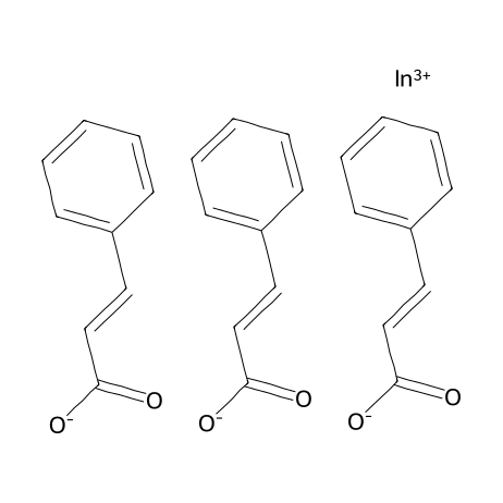 O=C([O-])C=Cc1ccccc1.O=C([O-])C=Cc1ccccc1.O=C([O-])C=Cc1ccccc1.[In+3]